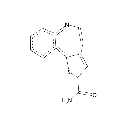 NC(=O)C1C=C2C=CN=c3ccccc3=C2S1